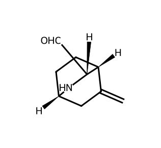 C=C1C[C@@H]2CC[C@H]1[C@@H](C=O)N2